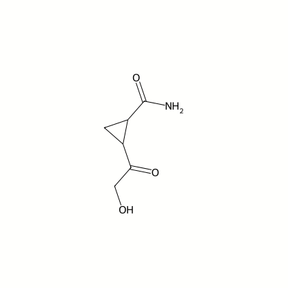 NC(=O)C1CC1C(=O)CO